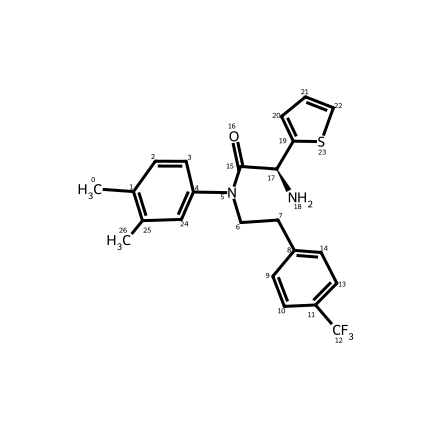 Cc1ccc(N(CCc2ccc(C(F)(F)F)cc2)C(=O)[C@H](N)c2cccs2)cc1C